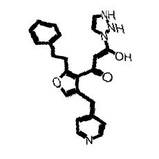 O=C(C=C(O)N1C=CNN1)c1c(Cc2ccncc2)coc1CCc1ccccc1